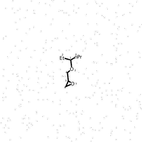 CCCC(CC)OCC1CO1